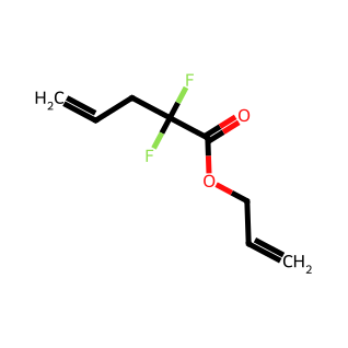 C=CCOC(=O)C(F)(F)CC=C